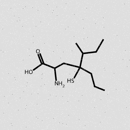 CCCC(S)(CC(N)C(=O)O)C(C)CC